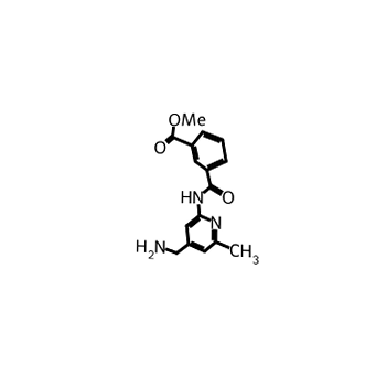 COC(=O)c1cccc(C(=O)Nc2cc(CN)cc(C)n2)c1